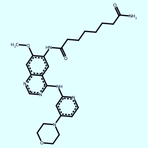 COc1cc2ncnc(Nc3cc(N4CCOCC4)ccn3)c2cc1NC(=O)CCCCCCC(N)=O